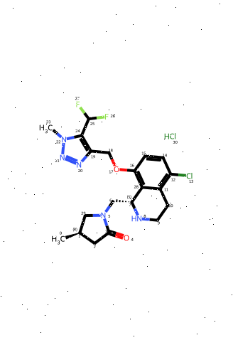 C[C@@H]1CC(=O)N(C[C@H]2NCCc3c(Cl)ccc(OCc4nnn(C)c4C(F)F)c32)C1.Cl